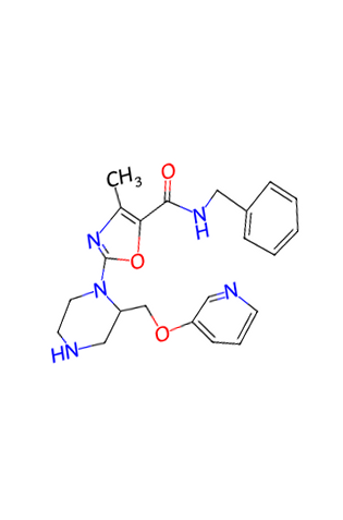 Cc1nc(N2CCNCC2COc2cccnc2)oc1C(=O)NCc1ccccc1